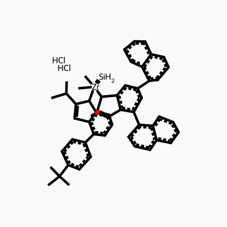 CC1=Cc2c(-c3cccc4ccccc34)cc(-c3cccc4ccccc34)cc2[CH]1[Zr]([CH3])([CH3])(=[SiH2])[CH]1C(C(C)C)=Cc2c(-c3ccc(C(C)(C)C)cc3)cccc21.Cl.Cl